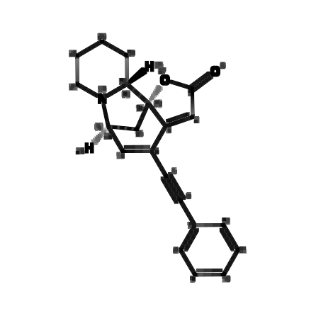 O=C1C=C2C(C#Cc3ccccc3)=C[C@@H]3C[C@@]2(O1)[C@H]1CCCCN31